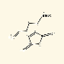 C=CCCCCCCCCCC.O=C1C=CC(=O)O1